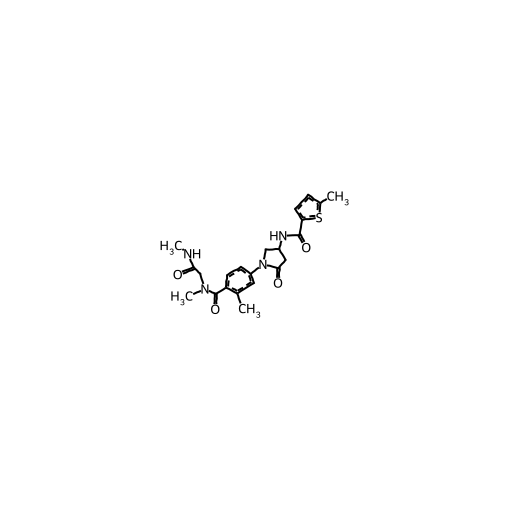 CNC(=O)CN(C)C(=O)c1ccc(N2CC(NC(=O)c3ccc(C)s3)CC2=O)cc1C